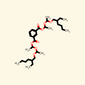 CCCCC(CC)COC(C)OC(C)OC(=O)c1cccc(C(=O)OC(C)OC(C)OCC(CC)CCCC)c1